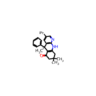 CC(C)c1cnc2c(c1)[C@](C)(c1ccccc1)C1=C(CC(C)(C)CC1=O)N2